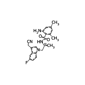 Cc1cc(C)c(S(=O)(=O)N[C@@H](C)Cn2cc(CC#N)c3cc(F)ccc32)c(N)c1